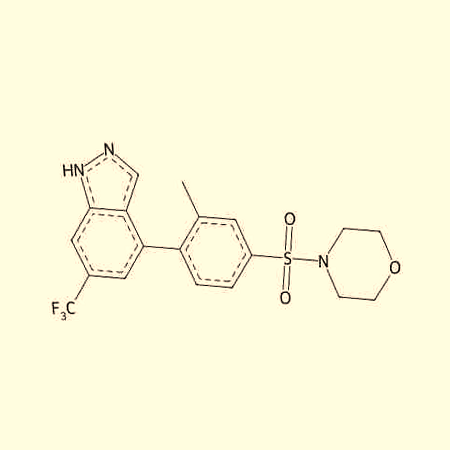 Cc1cc(S(=O)(=O)N2CCOCC2)ccc1-c1cc(C(F)(F)F)cc2[nH]ncc12